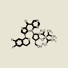 CC(C)[Si](O[C@H]1C[C@H](Nc2ncncc2C(=O)c2cc([C@H]3OCCc4cc(F)c(F)cc43)cs2)C[C@@H]1CO)(C(C)C)C(C)C